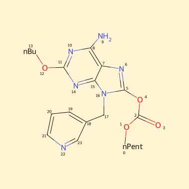 CCCCCOC(=O)Oc1nc2c(N)nc(OCCCC)nc2n1Cc1cccnc1